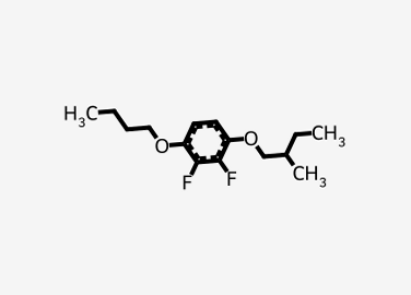 CCCCOc1ccc(OCC(C)CC)c(F)c1F